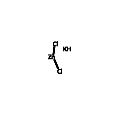 [Cl][Zn][Cl].[KH]